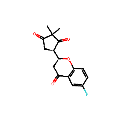 CC1(C)C(=O)C[C@H]([C@@H]2CC(=O)c3cc(F)ccc3O2)C1=O